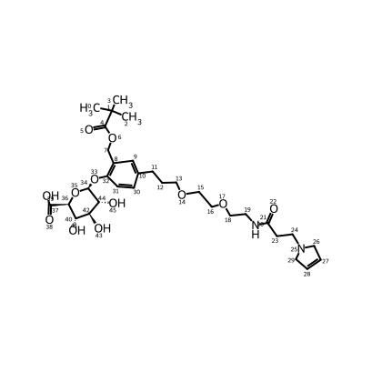 CC(C)(C)C(=O)OCc1cc(CCCOCCOCCNC(=O)CCN2CC=CC2)ccc1O[C@@H]1O[C@H](C(=O)O)[C@@H](O)[C@H](O)[C@H]1O